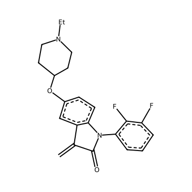 C=C1C(=O)N(c2cccc(F)c2F)c2ccc(OC3CCN(CC)CC3)cc21